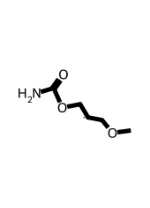 COC[CH]COC(N)=O